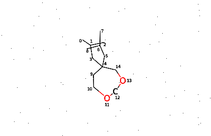 CC(C)CC1(CC(C)C)CCOCOC1